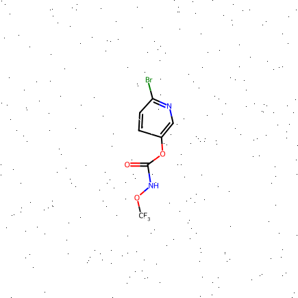 O=C(NOC(F)(F)F)Oc1ccc(Br)nc1